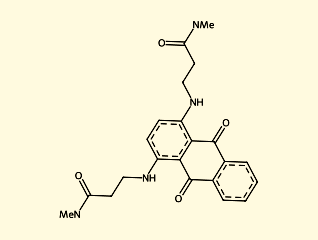 CNC(=O)CCNc1ccc(NCCC(=O)NC)c2c1C(=O)c1ccccc1C2=O